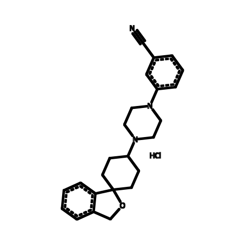 Cl.N#Cc1cccc(N2CCN(C3CCC4(CC3)OCc3ccccc34)CC2)c1